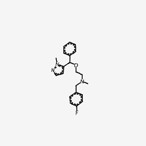 CN(CCOC(c1ccccc1)c1ccnn1C)Cc1ccc(F)cc1